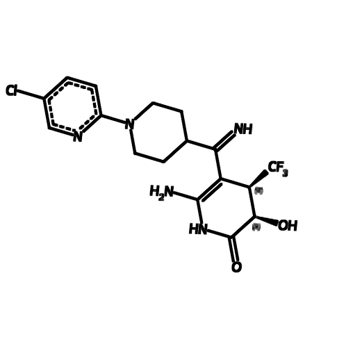 N=C(C1=C(N)NC(=O)[C@H](O)[C@@H]1C(F)(F)F)C1CCN(c2ccc(Cl)cn2)CC1